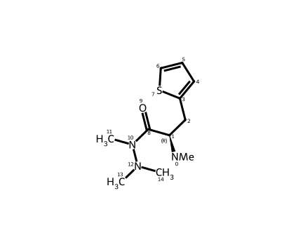 CN[C@H](Cc1cccs1)C(=O)N(C)N(C)C